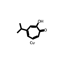 CC(C)c1cccc(=O)c(O)c1.[Cu]